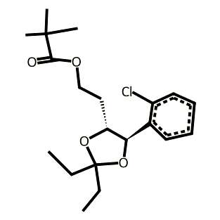 CCC1(CC)O[C@H](c2ccccc2Cl)[C@@H](CCOC(=O)C(C)(C)C)O1